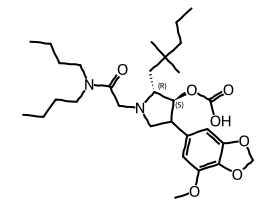 CCCCN(CCCC)C(=O)CN1CC(c2cc(OC)c3c(c2)OCO3)[C@H](OC(=O)O)[C@H]1CC(C)(C)CCC